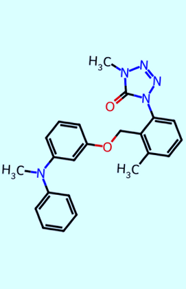 Cc1cccc(-n2nnn(C)c2=O)c1COc1cccc(N(C)c2ccccc2)c1